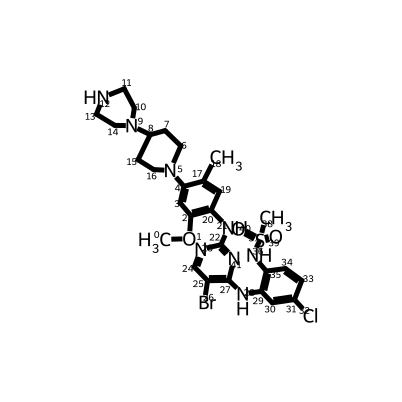 COc1cc(N2CCC(N3CCNCC3)CC2)c(C)cc1Nc1ncc(Br)c(Nc2cc(Cl)ccc2NS(C)(=O)=O)n1